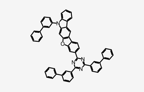 c1ccc(-c2cccc(-c3nc(-c4cccc(-c5ccccc5)c4)nc(-c4ccc5c(c4)oc4cc6c(cc45)c4ccccc4n6-c4cccc(-c5ccccc5)c4)n3)c2)cc1